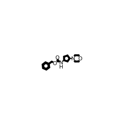 O=C(N[C@H]1CC[C@@H](N2CCOCC2)C1)OCc1ccccc1